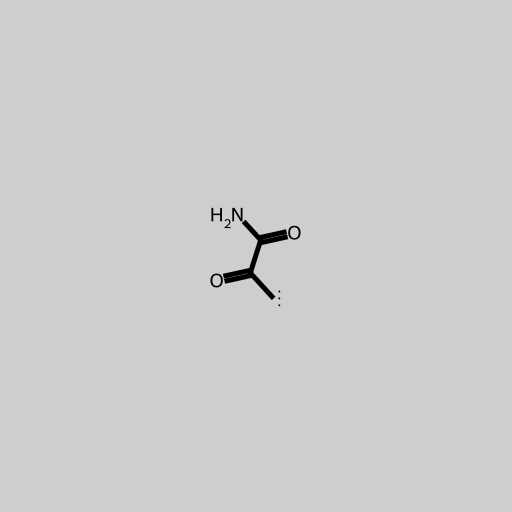 [C]C(=O)C(N)=O